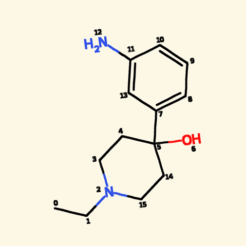 CCN1CCC(O)(c2cccc(N)c2)CC1